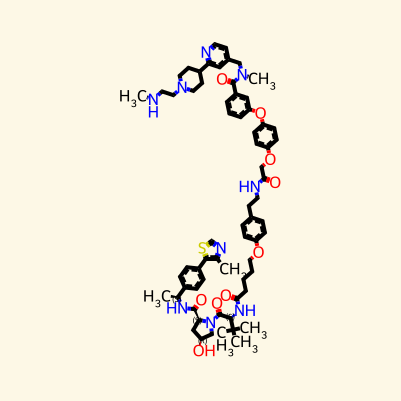 CNCCN1CCC(c2cc(CN(C)C(=O)c3cccc(Oc4ccc(OCC(=O)NCCc5ccc(OCCCCC(=O)N[C@H](C(=O)N6C[C@H](O)C[C@H]6C(=O)N[C@@H](C)c6ccc(-c7scnc7C)cc6)C(C)(C)C)cc5)cc4)c3)ccn2)CC1